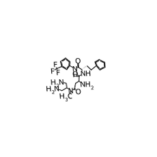 CN(C(=O)C[C@H](N)C(=O)N[C@@H](CCc1ccccc1)C(=O)Nc1cccc(C(F)(F)F)c1)C(CN)CN